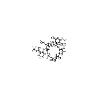 COCCO[C@@]1(CNC[C@H]2CCCCN2C(=O)OC(C)(C)C)/C=C/C[C@H](C)[C@@H](C)S(=O)(=O)NC(=O)c2ccc3c(c2)N(C[C@@H]2CC[C@H]21)C[C@@]1(CCCc2cc(Cl)ccc21)CO3